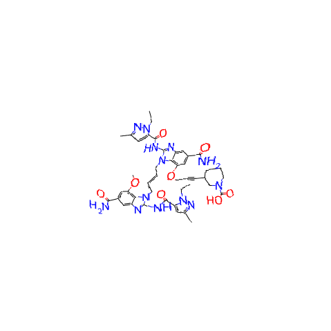 CCn1nc(C)cc1C(=O)Nc1nc2cc(C(N)=O)cc(OC)c2n1CC=CCn1c(NC(=O)c2cc(C)nn2CC)nc2cc(C(N)=O)cc(OCC#CC3CCCN(C(=O)O)C3)c21